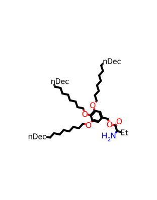 CCCCCCCCCCCCCCCCCCOc1cc(COC(=O)C(N)CC)cc(OCCCCCCCCCCCCCCCCCC)c1OCCCCCCCCCCCCCCCCCC